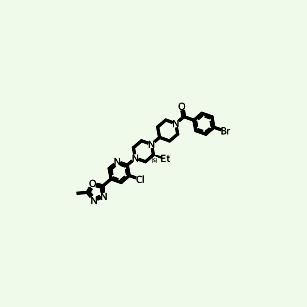 CC[C@H]1CN(c2ncc(-c3nnc(C)o3)cc2Cl)CCN1C1CCN(C(=O)c2ccc(Br)cc2)CC1